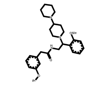 COc1ccccc1C(CNC(=O)Cc1cccc(OC(C)C)c1)N1CCC(N2CCCCC2)CC1